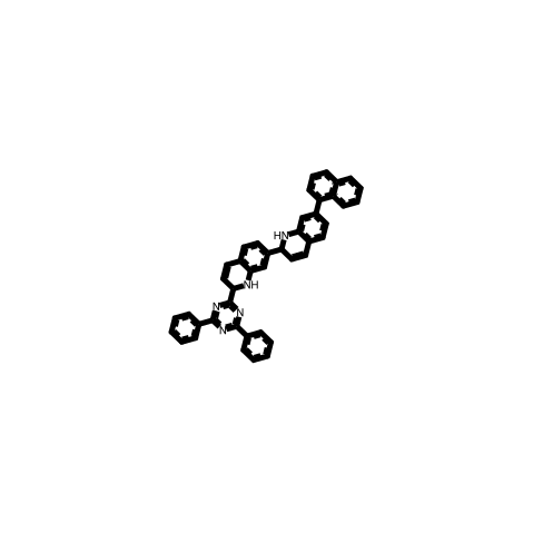 C1=CC(c2ccc3c(c2)NC(c2nc(-c4ccccc4)nc(-c4ccccc4)n2)C=C3)Nc2cc(-c3cccc4ccccc34)ccc21